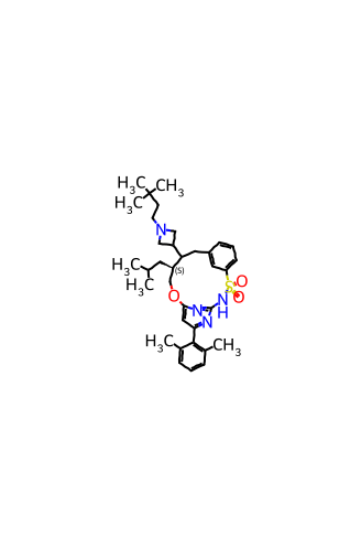 Cc1cccc(C)c1-c1cc2nc(n1)NS(=O)(=O)c1cccc(c1)CC(C1CN(CCC(C)(C)C)C1)[C@H](CC(C)C)CO2